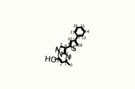 Cc1cc(O)n2ncc(-c3cc(-c4ccccc4)cs3)c2n1